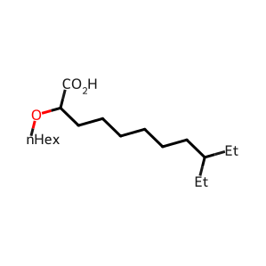 CCCCCCOC(CCCCCCC(CC)CC)C(=O)O